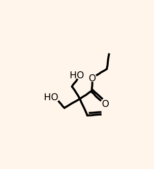 C=CC(CO)(CO)C(=O)OCC